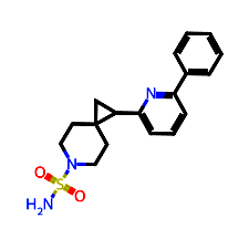 NS(=O)(=O)N1CCC2(CC1)CC2c1cccc(-c2ccccc2)n1